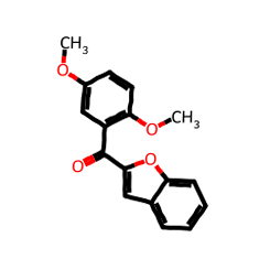 COc1ccc(OC)c(C(=O)c2cc3ccccc3o2)c1